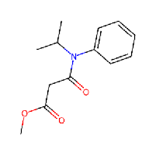 COC(=O)CC(=O)N(c1ccccc1)C(C)C